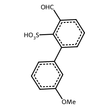 COc1cccc(-c2cccc(C=O)c2S(=O)(=O)O)c1